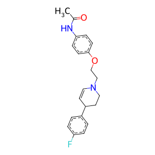 CC(=O)Nc1ccc(OCCN2C=CC(c3ccc(F)cc3)CC2)cc1